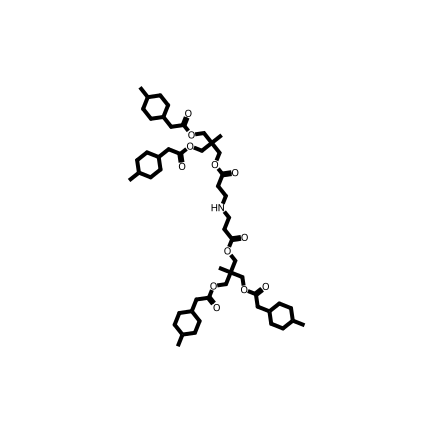 CC1CCC(CC(=O)OCC(C)(COC(=O)CCNCCC(=O)OCC(C)(COC(=O)CC2CCC(C)CC2)COC(=O)CC2CCC(C)CC2)COC(=O)CC2CCC(C)CC2)CC1